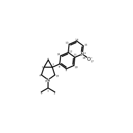 CC(C)N1CC2CC2(c2ccc3c(ccc[n+]3[O-])c2)C1